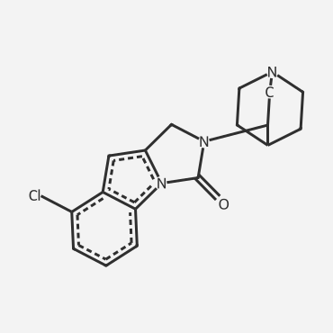 O=C1N(C2CN3CCC2CC3)Cc2cc3c(Cl)cccc3n21